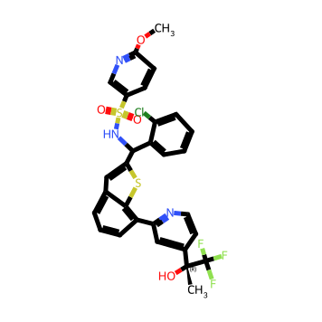 COc1ccc(S(=O)(=O)NC(c2cc3cccc(-c4cc([C@@](C)(O)C(F)(F)F)ccn4)c3s2)c2ccccc2Cl)cn1